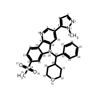 Cn1nccc1-c1cnc2c3ccc(S(C)(=O)=O)cc3n(C(c3ccccc3)C3CCOCC3)c2c1